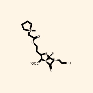 C[N+]1(CC(=O)OCCC2S[C@@H]3[C@@H](CCO)C(=O)N3C2C(=O)[O-])CCCC1